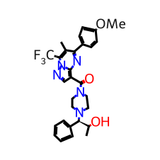 COc1ccc(-c2nc3c(C(=O)N4CCN([C@H](c5ccccc5)C(C)O)CC4)cnn3c(C(F)(F)F)c2C)cc1